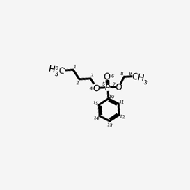 CCCCOP(=O)(OCC)c1ccccc1